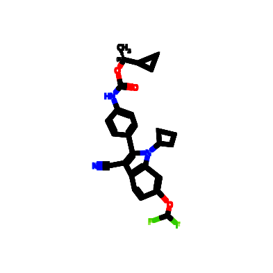 C[C@@H](OC(=O)Nc1ccc(-c2c(C#N)c3ccc(OC(F)F)cc3n2C2CCC2)cc1)C1CC1